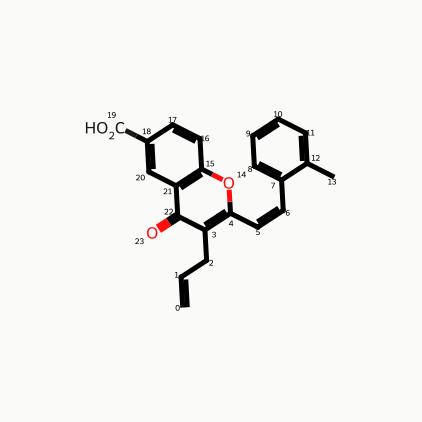 C=CCc1c(/C=C\c2ccccc2C)oc2ccc(C(=O)O)cc2c1=O